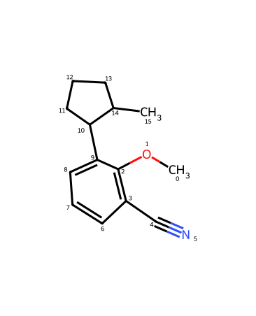 COc1c(C#N)cccc1C1CCCC1C